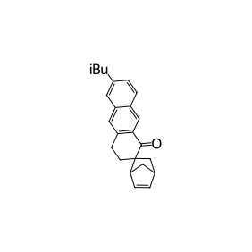 CCC(C)c1ccc2cc3c(cc2c1)CCC1(CC2C=CC1C2)C3=O